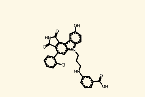 O=C(O)c1cccc(NCCCn2c3ccc(O)cc3c3c4c(c(-c5ccccc5Cl)cc32)C(=O)NC4=O)c1